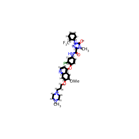 COc1cc2c(Oc3ccc(NC(=O)c4nn(-c5ccccc5C(F)(F)F)c(=O)n4C)cc3F)ccnc2cc1OCCCN1CCN(C)CC1